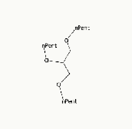 CCCCCOCC(COCCCCC)OCCCCC